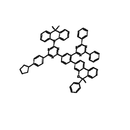 CC1(C)c2ccccc2N(c2nc(-c3ccc(C4CCCC4)cc3)nc(-c3ccc(-c4ccc5c(c4)OC(C)(c4ccccc4)c4ccccc4-5)c(-c4nc(-c5ccccc5)nc(-c5ccccc5)n4)c3)n2)c2ccccc21